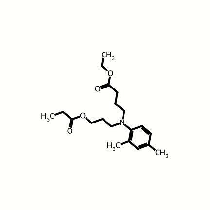 CCOC(=O)CCCN(CCCOC(=O)CC)c1ccc(C)cc1C